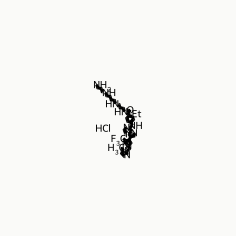 CCc1cc(Nc2nccn3c(-c4cn(Cc5nccn5C)nc4C(F)(F)F)cnc23)ccc1C(=O)NCCCNCCCCNCCCN.Cl